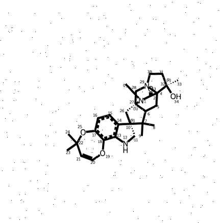 CN1C(=O)C23CC4C(C)(C)[C@]5(CNc6c5ccc5c6OC=CC(C)(C)O5)C[C@@]41CN2CC[C@@]3(C)O